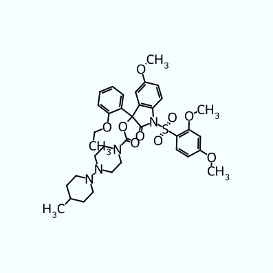 CCOc1ccccc1C1(OC(=O)N2CCN(N3CCC(C)CC3)CC2)C(=O)N(S(=O)(=O)c2ccc(OC)cc2OC)c2ccc(OC)cc21